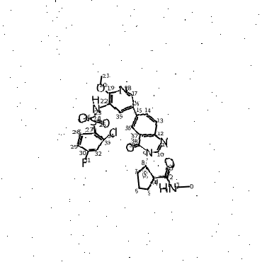 CNC(=O)[C@H]1CCC[C@@H]1n1cnc2ccc(-c3cnc(OC)c(NS(=O)(=O)c4ccc(F)cc4Cl)c3)cc2c1=O